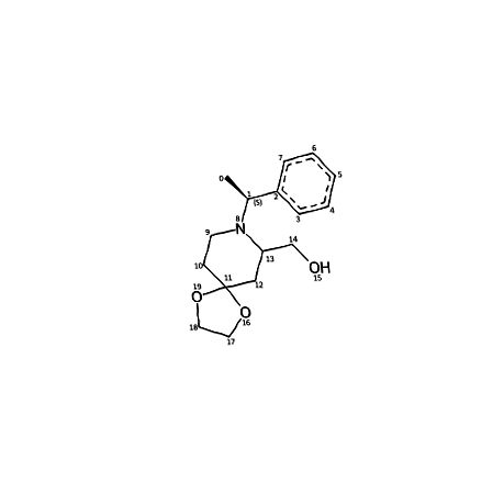 C[C@@H](c1ccccc1)N1CCC2(CC1CO)OCCO2